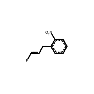 O=[N+]([O-])c1ccccc1CC=CF